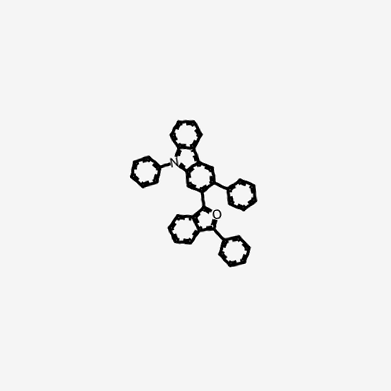 c1ccc(-c2cc3c4ccccc4n(-c4ccccc4)c3cc2-c2oc(-c3ccccc3)c3ccccc23)cc1